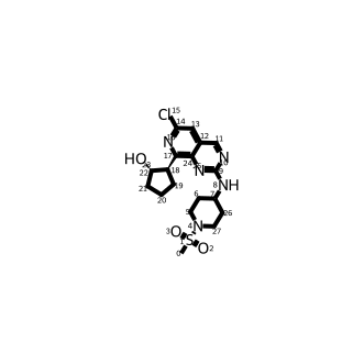 CS(=O)(=O)N1CCC(Nc2ncc3cc(Cl)nc([C@H]4CCC[C@@H]4O)c3n2)CC1